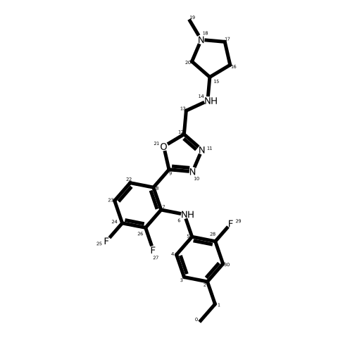 CCc1ccc(Nc2c(-c3nnc(CNC4CCN(C)C4)o3)ccc(F)c2F)c(F)c1